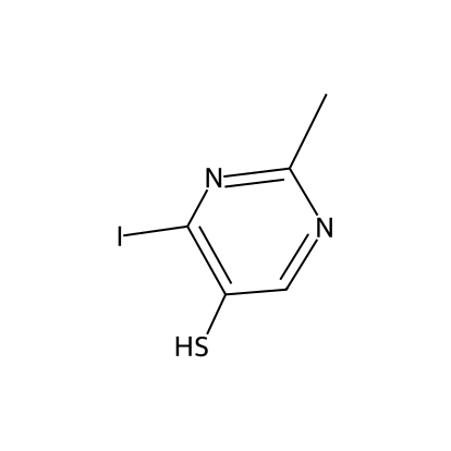 Cc1ncc(S)c(I)n1